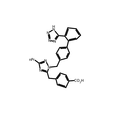 CCCc1nc(Cc2ccc(C(=O)O)cc2)n(Cc2ccc(-c3ccccc3-c3nnn[nH]3)cc2)n1